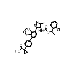 Cc1noc(-c2ccc(-c3ccc(C4(C(=O)O)CC4)cc3)c3c2OCOC3)c1NC(=O)OC(C)c1ccccc1Cl